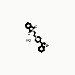 Cl.O=C1c2ccccc2C(=O)N1CCN1CCC(c2c[nH]c3ccccc23)CC1